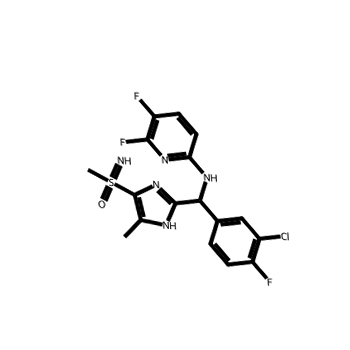 Cc1[nH]c(C(Nc2ccc(F)c(F)n2)c2ccc(F)c(Cl)c2)nc1S(C)(=N)=O